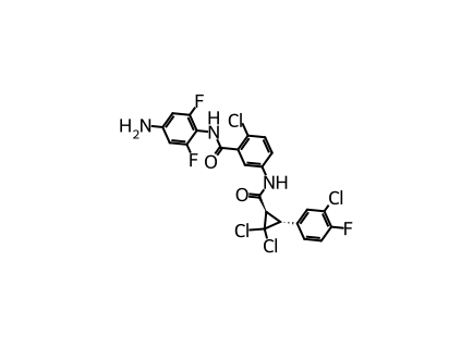 Nc1cc(F)c(NC(=O)c2cc(NC(=O)[C@H]3[C@H](c4ccc(F)c(Cl)c4)C3(Cl)Cl)ccc2Cl)c(F)c1